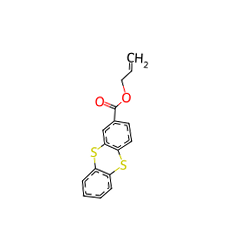 C=CCOC(=O)c1ccc2c(c1)Sc1ccccc1S2